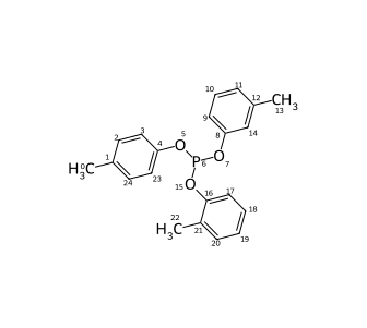 Cc1ccc(OP(Oc2cccc(C)c2)Oc2ccccc2C)cc1